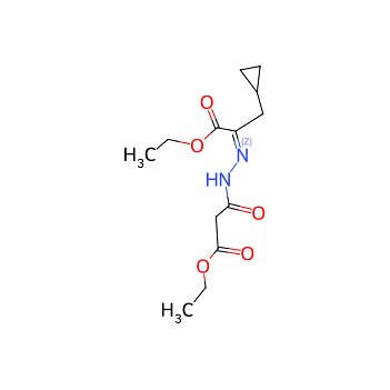 CCOC(=O)CC(=O)N/N=C(/CC1CC1)C(=O)OCC